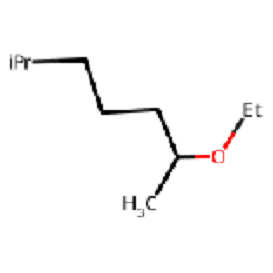 CCOC(C)CCCC(C)C